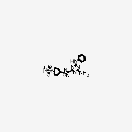 CN(C)S(=O)(=O)N1CCC(c2nc(-c3nc(N)nc(Nc4ccccc4)n3)no2)CC1